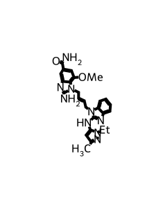 CCn1nc(C)cc1Nc1nc2ccccc2n1C/C=C/Cn1c(N)nc2cc(C(N)=O)cc(OC)c21